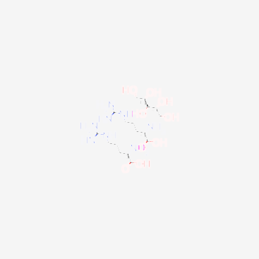 N=C(N)NCCC[C@H](N)C(=O)O.N=C(N)NCCC[C@H](N)C(=O)O.OC[C@@H](O)[C@H](O)[C@@H](O)CO